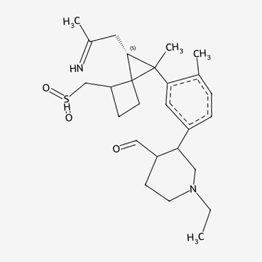 CCN1CCC(C=O)C(c2ccc(C)c(C3(C)[C@@H](CC(C)=N)C34CCC4C[SH](=O)=O)c2)C1